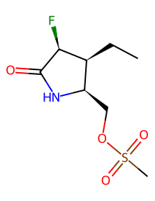 CC[C@@H]1[C@H](F)C(=O)N[C@@H]1COS(C)(=O)=O